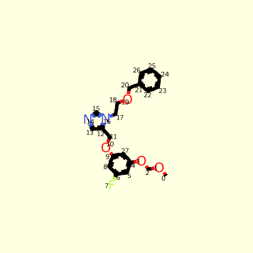 COCOc1cc(F)cc(OCc2cncn2CCOCc2ccccc2)c1